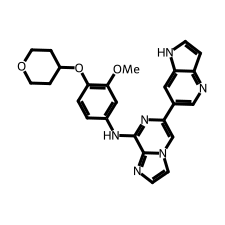 COc1cc(Nc2nc(-c3cnc4cc[nH]c4c3)cn3ccnc23)ccc1OC1CCOCC1